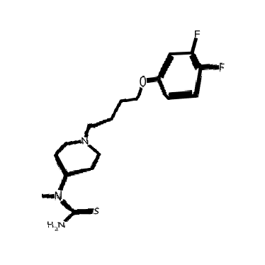 CN(C(N)=S)C1CCN(CCCCOc2ccc(F)c(F)c2)CC1